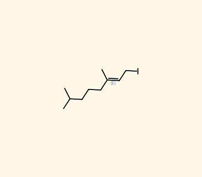 C/C(=C\CI)CCCC(C)C